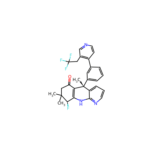 CC1(C)CC(=O)C2=C(Nc3ncccc3[C@@]2(C)c2cccc(-c3ccncc3CC(F)(F)F)c2)[C@H]1F